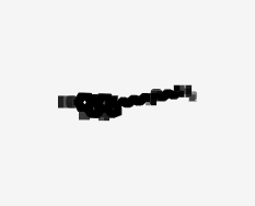 C[C@]12CC[C@H](O)C[C@H]1CC[C@@H]1[C@@H]2CC[C@]2(C)[C@@H](/C=C/C=C/C=N/OCCCN)CC[C@@H]12